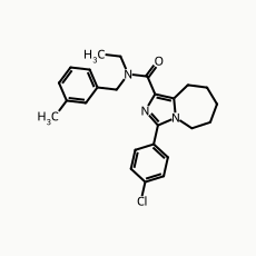 CCN(Cc1cccc(C)c1)C(=O)c1nc(-c2ccc(Cl)cc2)n2c1CCCCC2